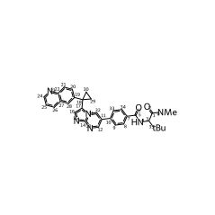 CNC(=O)C(NC(=O)c1ccc(-c2cnc3ncc(C4(c5ccc6ncccc6c5)CC4)n3c2)cc1)C(C)(C)C